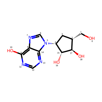 OC[C@H]1C[C@@H](n2cnc3c(O)ncnc32)[C@@H](O)[C@@H]1O